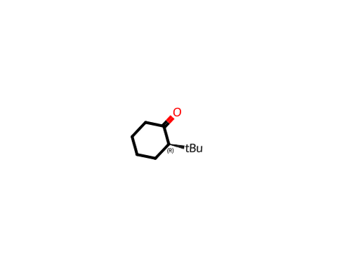 CC(C)(C)[C@H]1CCCCC1=O